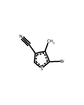 Cc1c(C#N)csc1Br